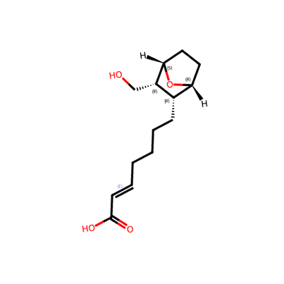 O=C(O)/C=C/CCCC[C@@H]1[C@H](CO)[C@@H]2CC[C@H]1O2